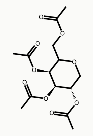 CC(=O)OCC1OC[C@H](OC(C)=O)[C@@H](OC(C)=O)[C@H]1OC(C)=O